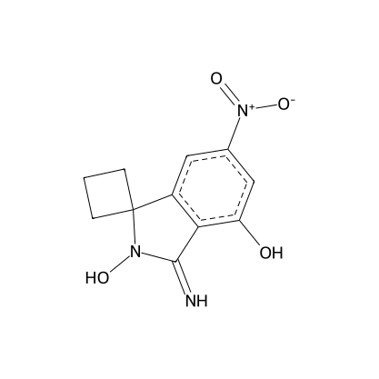 N=C1c2c(O)cc([N+](=O)[O-])cc2C2(CCC2)N1O